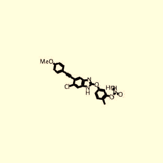 COc1ccc(C#Cc2cc3nc(Oc4ccc(C)c(O[PH](=O)O)c4)[nH]c3cc2Cl)cc1